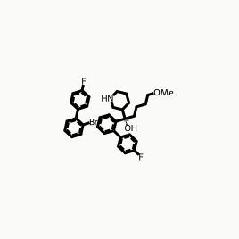 COCCCC[C@@](O)(c1ccccc1-c1ccc(F)cc1)C1CCCNC1.Fc1ccc(-c2ccccc2Br)cc1